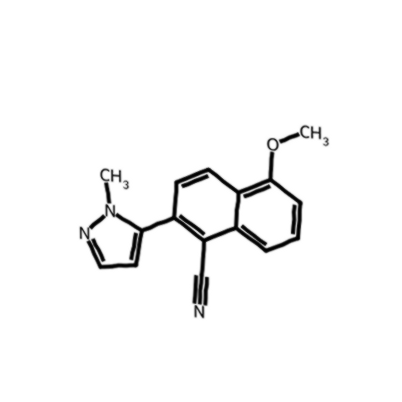 COc1cccc2c(C#N)c(-c3ccnn3C)ccc12